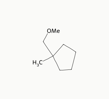 COCC1(C)CCCC1